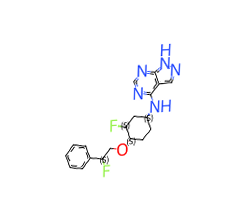 F[C@H](CO[C@H]1CC[C@H](Nc2ncnc3[nH]ncc23)C[C@@H]1F)c1ccccc1